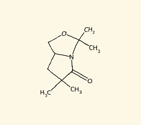 CC1(C)CC2COC(C)(C)N2C1=O